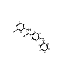 Cc1cccc(NC(=O)c2ccc(Oc3ccccc3)cc2)c1